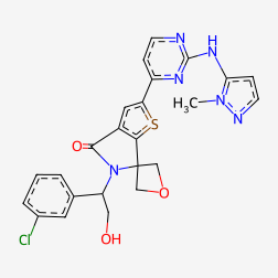 Cn1nccc1Nc1nccc(-c2cc3c(s2)C2(COC2)N(C(CO)c2cccc(Cl)c2)C3=O)n1